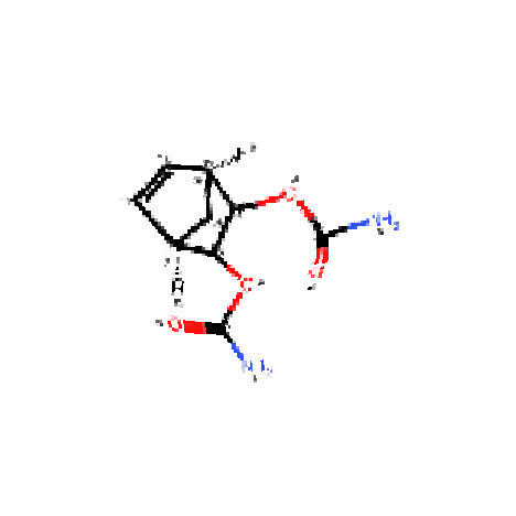 NC(=O)OC1C(OC(N)=O)[C@H]2C=C[C@@H]1C2